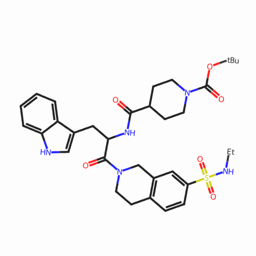 CCNS(=O)(=O)c1ccc2c(c1)CN(C(=O)C(Cc1c[nH]c3ccccc13)NC(=O)C1CCN(C(=O)OC(C)(C)C)CC1)CC2